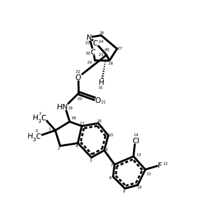 CC1(C)Cc2cc(-c3cccc(F)c3Cl)ccc2C1NC(=O)O[C@H]1CN2CCC1CC2